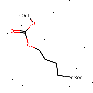 CCCCCCCCCCCCCOC(=O)OCCCCCCCC